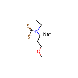 CCN(CCCOC)C(=S)[S-].[Na+]